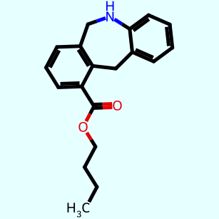 CCCCOC(=O)c1cccc2c1Cc1ccccc1NC2